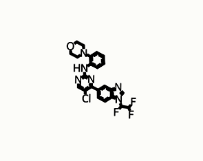 FC(F)C(F)n1cnc2cc(-c3nc(Nc4ccccc4N4CCOCC4)ncc3Cl)ccc21